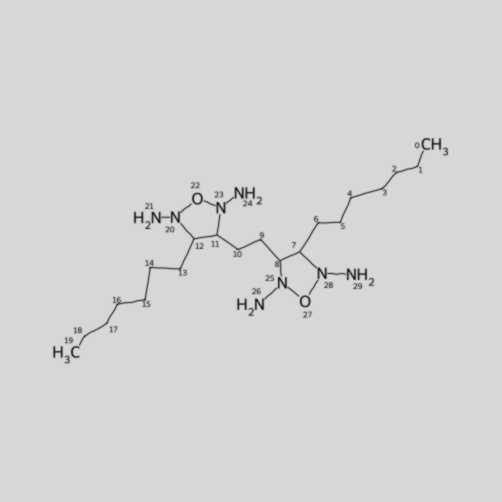 CCCCCCCC1C(CCC2C(CCCCCCC)N(N)ON2N)N(N)ON1N